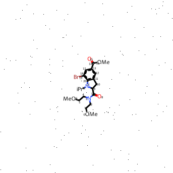 COCCN(CCOC)C(=O)C1Cc2cc(C(=O)OC)cc(Br)c2N1C(C)C